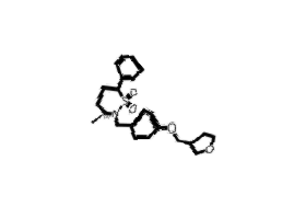 C[C@H]1CCC(c2ccccc2)S(=O)(=O)N1Cc1ccc(OCC2CCOC2)cc1